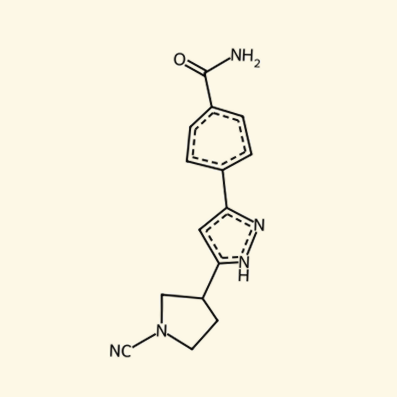 N#CN1CCC(c2cc(-c3ccc(C(N)=O)cc3)n[nH]2)C1